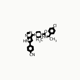 C[C@H](NC(=O)N1CCN(c2ncnc3[nH]c(-c4ccc(C#N)cc4)cc23)C[C@H]1C)c1ccc(Cl)cc1